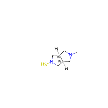 CN1C[C@@H]2CN(S)C[C@@H]2C1